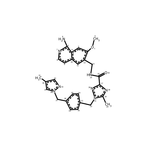 COc1cc2c(N)nccc2cc1CNC(=O)c1nc(C)n(Cc2ccc(Cn3cc(C)cn3)cc2)n1